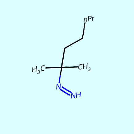 CCCCCC(C)(C)N=N